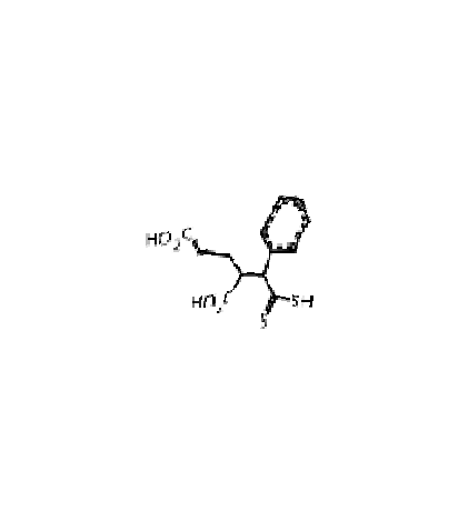 O=C(O)CCC(C(=O)O)C(C(=S)S)c1ccccc1